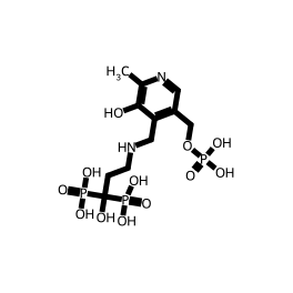 Cc1ncc(COP(=O)(O)O)c(CNCCC(O)(P(=O)(O)O)P(=O)(O)O)c1O